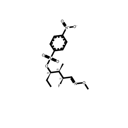 CC[C@@H](OS(=O)(=O)c1ccc([N+](=O)[O-])cc1)[C@@H](C)[C@H](F)C=NOC